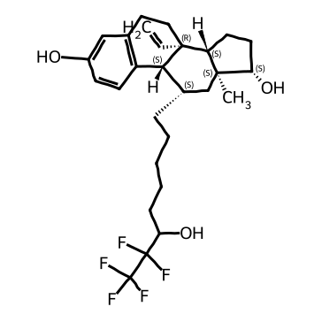 C=C[C@@]12CCc3cc(O)ccc3[C@H]1[C@@H](CCCCCC(O)C(F)(F)C(F)(F)F)C[C@@]1(C)[C@H]2CC[C@@H]1O